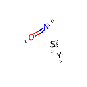 [N]=O.[Si].[Y]